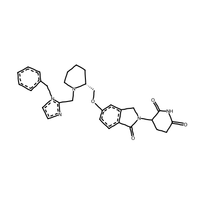 O=C1CCC(N2Cc3cc(OC[C@H]4CCCCN4Cc4nccn4Cc4ccccc4)ccc3C2=O)C(=O)N1